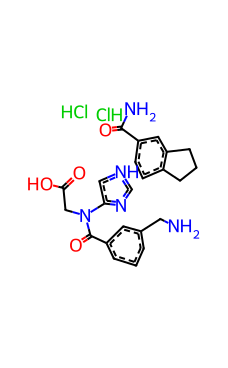 Cl.Cl.NC(=O)c1ccc2c(c1)CCC2.NCc1cccc(C(=O)N(CC(=O)O)c2c[nH]cn2)c1